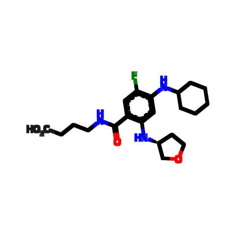 O=C(O)CCCNC(=O)c1cc(F)c(NC2CCCCC2)cc1N[C@@H]1CCOC1